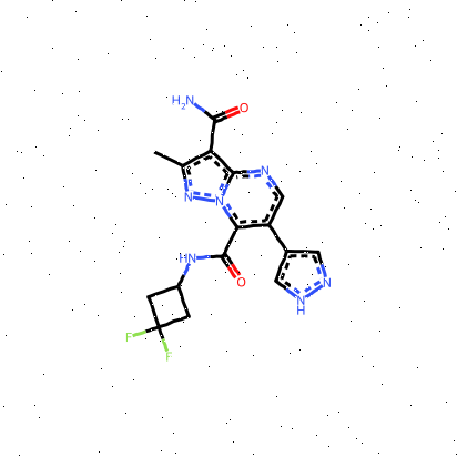 Cc1nn2c(C(=O)NC3CC(F)(F)C3)c(-c3cn[nH]c3)cnc2c1C(N)=O